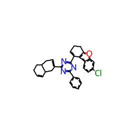 Clc1ccc2c3c(oc2c1)CCC=C3c1nc(C2=CCC3CCC=CC3C2)nc(-c2ccccc2)n1